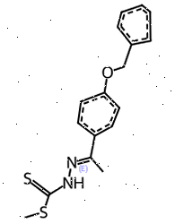 CSC(=S)N/N=C(\C)c1ccc(OCc2ccccc2)cc1